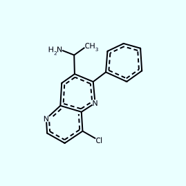 CC(N)c1cc2nccc(Cl)c2nc1-c1ccccc1